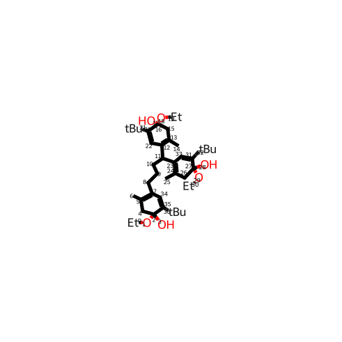 CCOC1(O)CC(C)=C(CCCC(C2=C(C)CC(O)(OCC)C(C(C)(C)C)=C2)C2=C(C)CC(O)(OCC)C(C(C)(C)C)=C2)C=C1C(C)(C)C